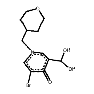 O=c1c(Br)cn(CC2CCOCC2)cc1C(O)O